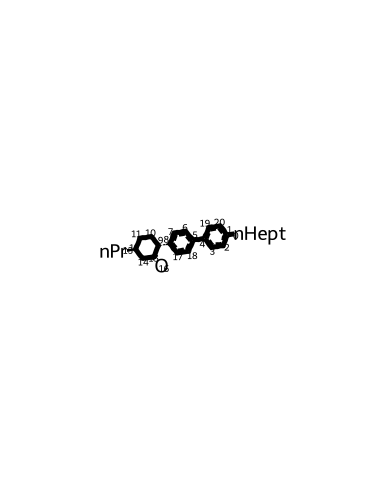 CCCCCCCc1ccc(-c2ccc([C@H]3CC[C@H](CCC)CC3=O)cc2)cc1